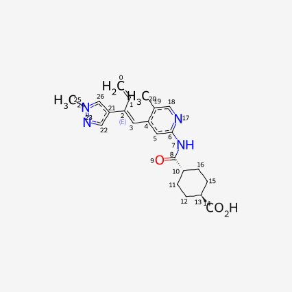 C=C/C(=C\c1cc(NC(=O)[C@H]2CC[C@H](C(=O)O)CC2)ncc1C)c1cnn(C)c1